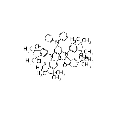 CC(C)(C)c1ccc2oc3c(c2c1)N(c1ccc2c(c1)C(C)(C)CC2(C)C)c1cc(N(c2ccccc2)c2ccccc2)cc2c1B3c1cc3c(cc1N2c1ccc2c(c1)C(C)(C)CC2(C)C)C(C)(C)CC3(C)C